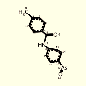 Cc1ccc(C(=O)Nc2ccc([As]=O)cc2)cc1